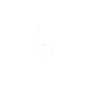 COC(=O)c1nc(Cl)c(Br)cc1NC(=O)CC(=O)O